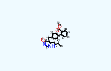 CCCCc1[nH]cnc(=O)c1Cc1ccc(-c2ccccc2C(=O)OC)cc1